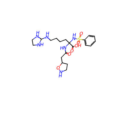 O=C(CC1CCNO1)NC(CCCCNC1NCCN1)(NS(=O)(=O)c1ccccc1)C(=O)O